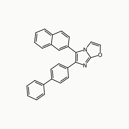 c1ccc(-c2ccc(-c3nc4occn4c3-c3ccc4ccccc4c3)cc2)cc1